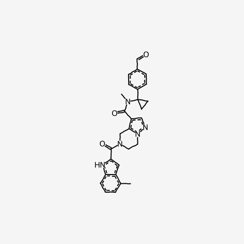 Cc1cccc2[nH]c(C(=O)N3CCn4ncc(C(=O)N(C)C5(c6ccc(C=O)cc6)CC5)c4C3)cc12